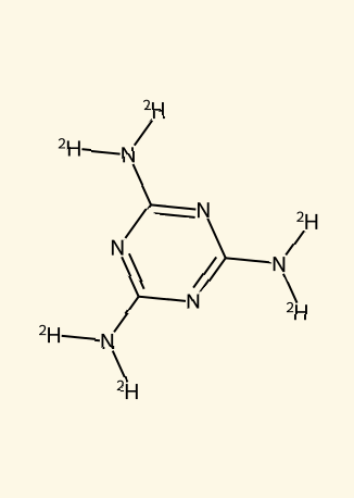 [2H]N([2H])c1nc(N([2H])[2H])nc(N([2H])[2H])n1